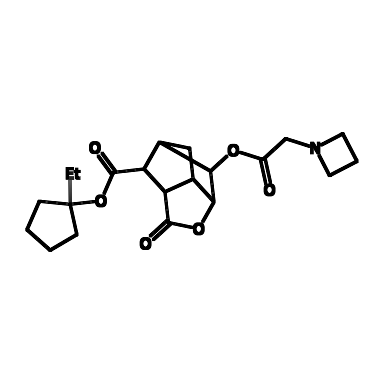 CCC1(OC(=O)C2C3CC4C(OC(=O)C42)C3OC(=O)CN2CCC2)CCCC1